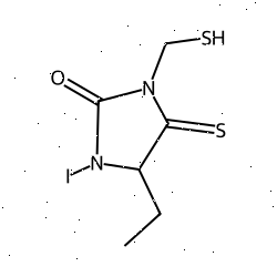 CCC1C(=S)N(CS)C(=O)N1I